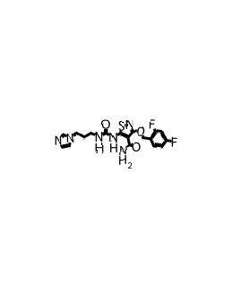 NC(=O)c1c(OCc2ccc(F)cc2F)nsc1NC(=O)NCCCn1ccnc1